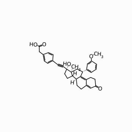 COc1cccc([C@H]2C[C@@]3(C)[C@@H](CC[C@@]3(O)C#Cc3ccc(CC(=O)O)cc3)[C@@H]3CCC4=CC(=O)CCC4=C32)c1